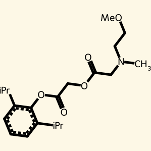 COCCN(C)CC(=O)OCC(=O)Oc1c(C(C)C)cccc1C(C)C